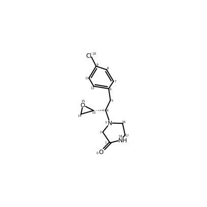 O=C1CN(C(Cc2ccc(Cl)cc2)[C@@H]2CO2)CCN1